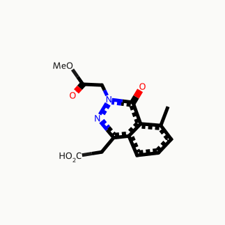 COC(=O)Cn1nc(CC(=O)O)c2cccc(C)c2c1=O